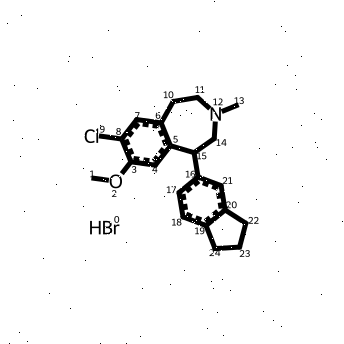 Br.COc1cc2c(cc1Cl)CCN(C)CC2c1ccc2c(c1)CCC2